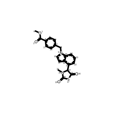 COC(=O)c1ccc(Cn2ccc3c(C4C(=O)SC(=O)N4C)cccc32)cc1